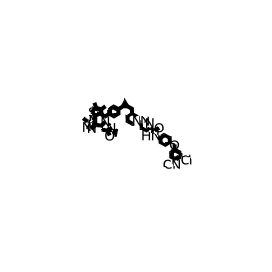 Cc1sc2c(c1C)C(c1ccc(C3CC3CC3CCCN(c4ccc(C(=O)N[C@H]5CC[C@H](Oc6ccc(C#N)c(Cl)c6)CC5)nn4)C3)cc1)=N[C@@H](Cc1ncco1)c1nnc(C)n1-2